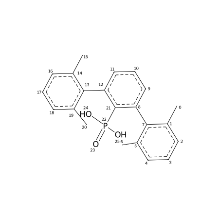 Cc1cccc(C)c1-c1cccc(-c2c(C)cccc2C)c1P(=O)(O)O